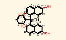 CC(c1ccccc1)(c1c(O)ccc2cc(O)ccc12)c1c(O)ccc2cc(O)ccc12